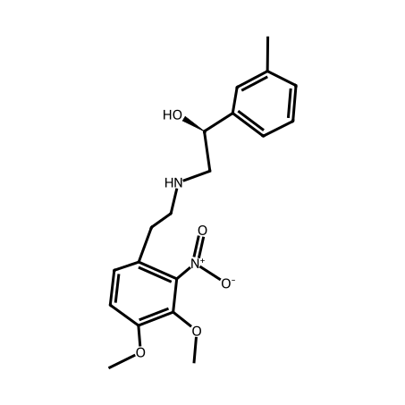 COc1ccc(CCNC[C@@H](O)c2cccc(C)c2)c([N+](=O)[O-])c1OC